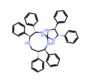 c1ccc([C@@H]2CN[C@@H](c3ccccc3)[C@H](c3ccccc3)NC3(N[C@H]2c2ccccc2)N[C@@H](c2ccccc2)[C@H](c2ccccc2)N3)cc1